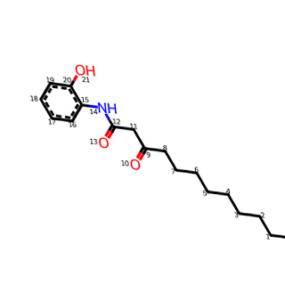 CCCCCCCCCC(=O)CC(=O)Nc1ccccc1O